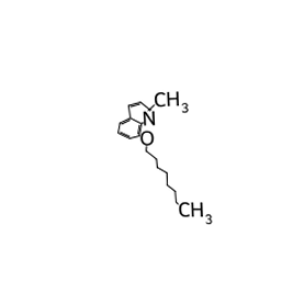 CCCCCCCCOc1cccc2ccc(C)nc12